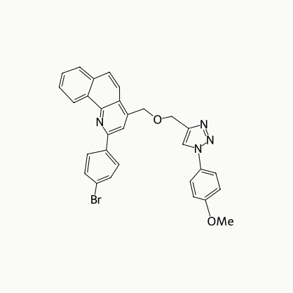 COc1ccc(-n2cc(COCc3cc(-c4ccc(Br)cc4)nc4c3ccc3ccccc34)nn2)cc1